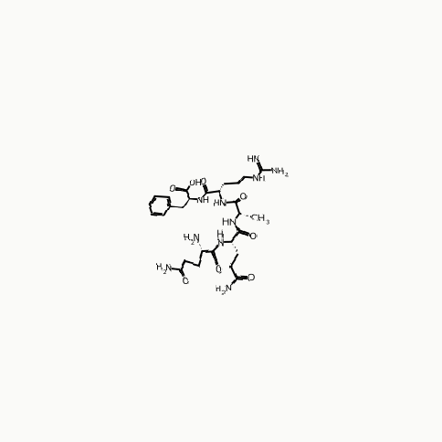 C[C@H](NC(=O)[C@H](CCC(N)=O)NC(=O)[C@@H](N)CCC(N)=O)C(=O)N[C@@H](CCCNC(=N)N)C(=O)N[C@@H](Cc1ccccc1)C(=O)O